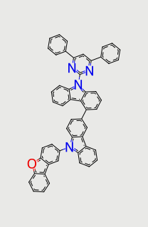 c1ccc(-c2cc(-c3ccccc3)nc(-n3c4ccccc4c4c(-c5ccc6c(c5)c5ccccc5n6-c5ccc6oc7ccccc7c6c5)cccc43)n2)cc1